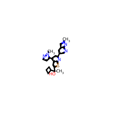 Cn1cc2cc(-c3cc(-c4ccnn4C)c4cc([C@@](C)(O)C5CCC5)sc4n3)cnc2n1